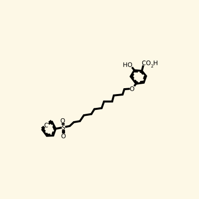 O=C(O)c1ccc(OCCCCCCCCCCCCS(=O)(=O)c2ccccc2)cc1O